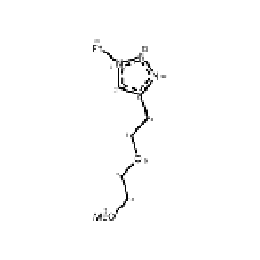 CCn1cc(CCOCCOC)nn1